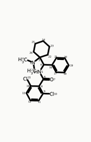 CN(C)C1(C(NC(=O)c2c(Cl)cccc2Cl)c2ccccc2)CCCCC1